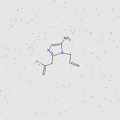 C=CCn1c([N+](=O)[O-])cnc1CC(=C)Cl